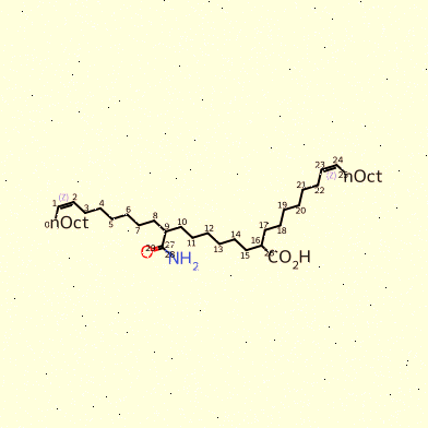 CCCCCCCC/C=C\CCCCCCC(CCCCCCC(CCCCCC/C=C\CCCCCCCC)C(=O)O)C(N)=O